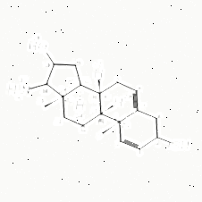 C[C@]12C=CC(O)CC1=CC[C@@H]1[C@H]2CC[C@]2(C)C(N)C(O)C[C@@H]12